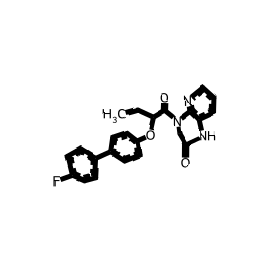 CCC(Oc1ccc(-c2ccc(F)cc2)cc1)C(=O)N1CC(=O)Nc2cccnc21